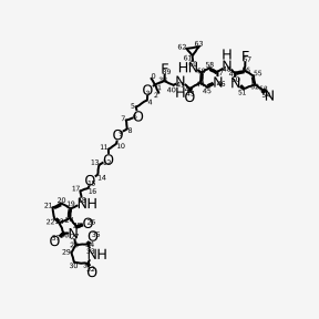 CC(C)(OCCOCCOCCOCCOCCNc1cccc2c1C(=O)N(C1CCC(=O)NC1=O)C2=O)C(F)CNC(=O)c1cnc(Nc2ncc(C#N)cc2F)cc1NC1CC1